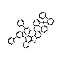 c1ccc(-c2cccc(-c3cc4c(oc5cccc(N(c6cccc(-c7ccccc7)c6)c6cccc7c6-c6ccccc6C76c7ccccc7-c7ccccc76)c54)c4ccccc34)c2)cc1